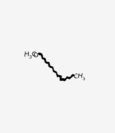 CCCC/C=C\CCCCCCCCCC/C=C\OC